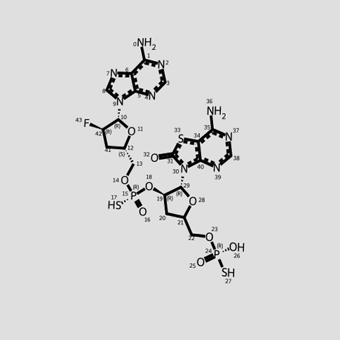 Nc1ncnc2c1ncn2[C@@H]1O[C@H](CO[P@@](=O)(S)O[C@@H]2CC(CO[P@@](=O)(O)S)O[C@H]2n2c(=O)sc3c(N)ncnc32)C[C@H]1F